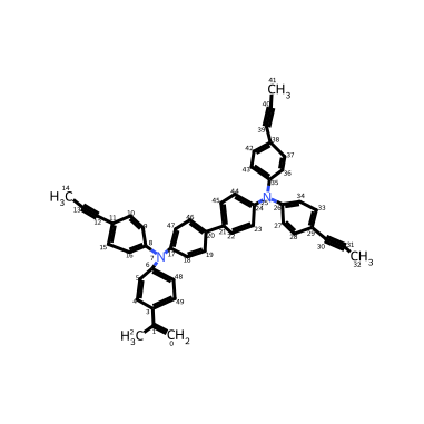 C=C(C)c1ccc(N(c2ccc(C#CC)cc2)c2ccc(-c3ccc(N(c4ccc(C#CC)cc4)c4ccc(C#CC)cc4)cc3)cc2)cc1